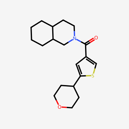 O=C(c1csc(C2CCOCC2)c1)N1CCC2CCCCC2C1